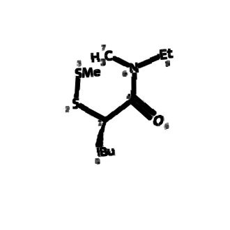 CCC(C)[C@@H](SSC)C(=O)N(C)CC